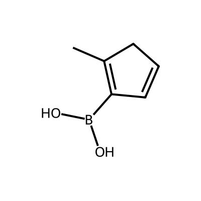 CC1=C(B(O)O)C=CC1